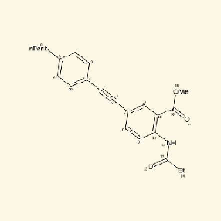 CCCCCc1ccc(C#Cc2ccc(NC(=O)CC)c(C(=O)OC)c2)cc1